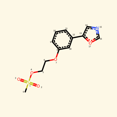 CS(=O)(=O)OCCOc1cccc(-c2cnco2)c1